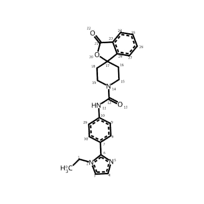 CCn1ccnc1-c1ccc(NC(=O)N2CCC3(CC2)OC(=O)c2ccccc23)cc1